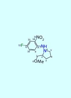 COCC1CCCN1Nc1ccc(F)cc1[N+](=O)[O-]